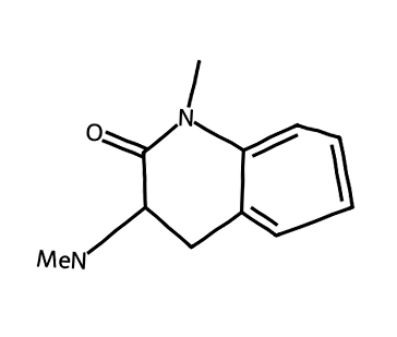 CNC1Cc2ccccc2N(C)C1=O